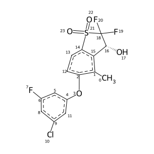 Cc1c(Oc2cc(F)cc(Cl)c2)ccc2c1[C@@H](O)C(F)(F)S2(=O)=O